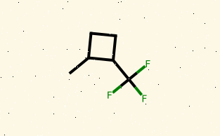 C[C]1CCC1C(F)(F)F